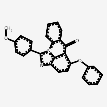 COc1ccc(-c2nc3ccc(Oc4ccccc4)c4c(=O)c5ccccc5n2c34)cc1